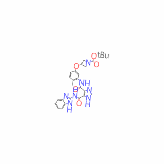 Cc1ccc(OC2CN(C(=O)OC(C)(C)C)C2)cc1NC(=O)c1nc[nH]c1C(=O)Nc1nc2ccccc2[nH]1